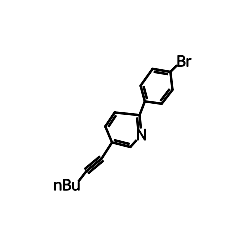 CCCCC#Cc1ccc(-c2ccc(Br)cc2)nc1